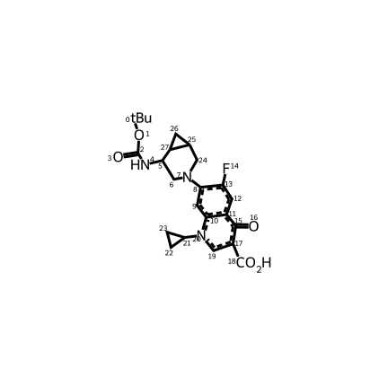 CC(C)(C)OC(=O)NC1CN(c2cc3c(cc2F)c(=O)c(C(=O)O)cn3C2CC2)CC2CC21